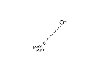 COCC(COCCCCCCCCCCCCc1cccc(I)c1)OC